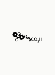 CC(CCOc1ccc(C(=O)c2ccccc2)c(O)c1)C(=O)O